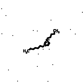 CCCCCCCn1cc[n+](CCCCC)c1